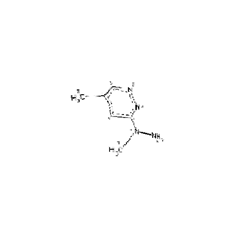 Cc1cnnc(N(C)N)c1